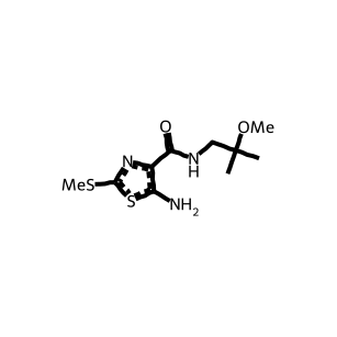 COC(C)(C)CNC(=O)c1nc(SC)sc1N